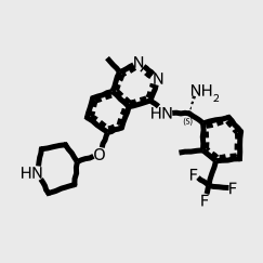 Cc1c([C@@H](N)Nc2nnc(C)c3ccc(OC4CCNCC4)cc23)cccc1C(F)(F)F